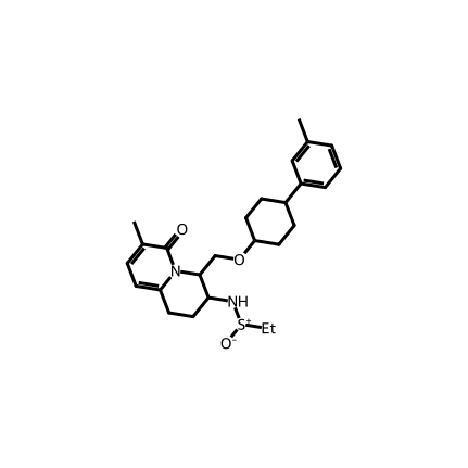 CC[S+]([O-])NC1CCc2ccc(C)c(=O)n2C1COC1CCC(c2cccc(C)c2)CC1